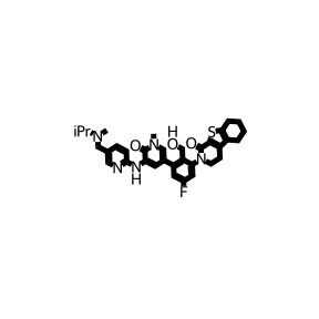 CC(C)N(C)Cc1ccc(Nc2cc(-c3cc(F)cc(N4CCc5c(sc6c5CCCC6)C4=O)c3CO)cn(C)c2=O)nc1